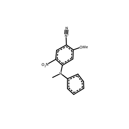 COc1cc(N(C)c2ccccc2)c([N+](=O)[O-])cc1[N+]#N